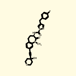 CN1C(=O)[C@H](NC(=O)n2cc(Cc3ccc(F)cc3)cn2)CCc2ccc(C#CC3(O)CCOCC3)cc21